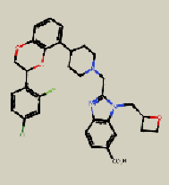 O=C(O)c1ccc2nc(CN3CCC(c4cccc5c4O[C@@H](c4ccc(Cl)cc4F)CO5)CC3)n(C[C@@H]3CCO3)c2c1